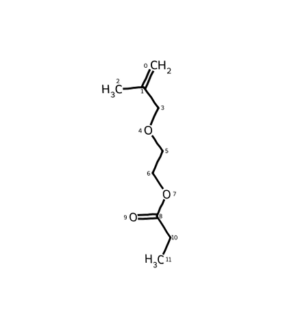 C=C(C)COCCOC(=O)CC